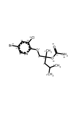 CC(C)CC(C)(COc1ncc(Br)cc1Cl)OC(N)=O